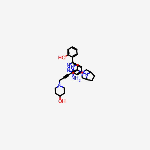 Nc1nnc(-c2ccccc2O)cc1N1CC2CCC(C1)N2c1ccnc(C#CCN2CCC(O)CC2)c1